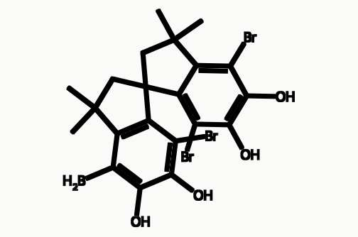 Bc1c(O)c(O)c(Br)c2c1C(C)(C)CC21CC(C)(C)c2c(Br)c(O)c(O)c(Br)c21